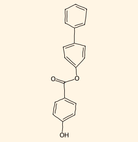 O=C(Oc1ccc(-c2ccccc2)cc1)c1ccc(O)cc1